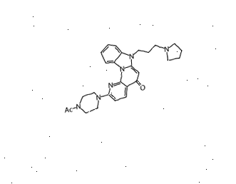 CC(=O)N1CCN(c2ccc3c(=O)cc4n(CCCN5CCCC5)c5ccccc5n4c3n2)CC1